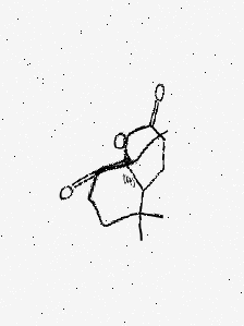 CC1(C)CCC[C@]23C(=O)OCC2C(=O)CCC13